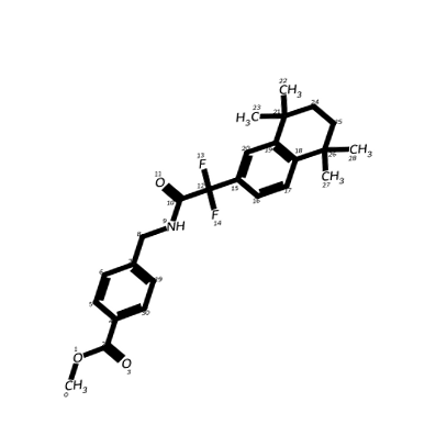 COC(=O)c1ccc(CNC(=O)C(F)(F)c2ccc3c(c2)C(C)(C)CCC3(C)C)cc1